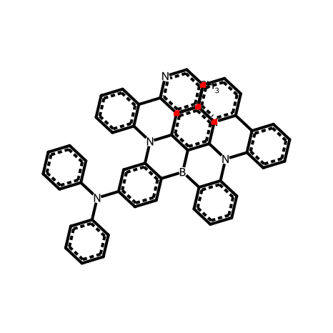 Cc1cc2c3c(c1)N(c1ccccc1-c1ccccn1)c1cc(N(c4ccccc4)c4ccccc4)ccc1B3c1ccccc1N2c1ccccc1-c1ccccn1